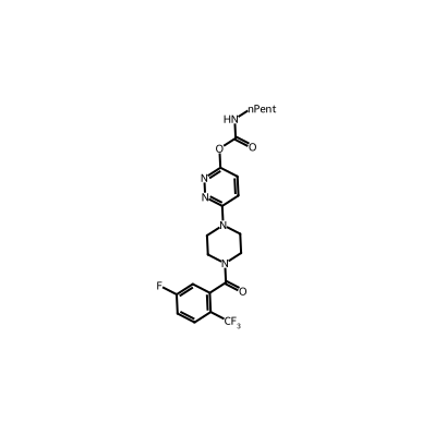 CCCCCNC(=O)Oc1ccc(N2CCN(C(=O)c3cc(F)ccc3C(F)(F)F)CC2)nn1